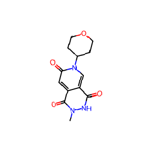 Cn1[nH]c(=O)c2cn(C3CCOCC3)c(=O)cc2c1=O